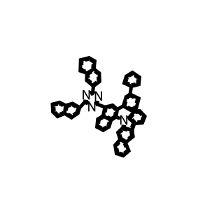 c1ccc(-c2cccc(-c3cc(-c4nc(-c5ccc6ccccc6c5)nc(-c5ccc6ccccc6c5)n4)c4ccccc4c3-n3c4ccccc4c4cc5ccccc5cc43)c2)cc1